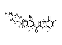 Cc1cc(C)c(CNC(=O)c2cc(Br)c3c(c2C)O[C@@](C)([C@H]2CC[C@H](N)CC2)O3)c(=O)[nH]1